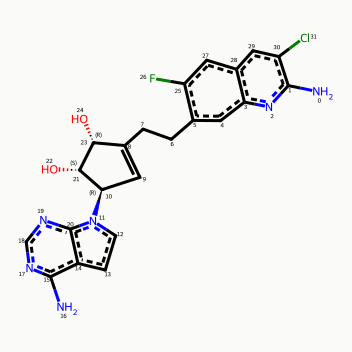 Nc1nc2cc(CCC3=C[C@@H](n4ccc5c(N)ncnc54)[C@H](O)[C@@H]3O)c(F)cc2cc1Cl